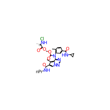 CCCNC(=O)c1cn2ncnc(N(C(=O)OCOC(=O)[C@H](C)NCl)c3cc(C(=O)NC4CC4)ccc3C)c2c1C